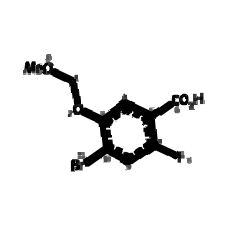 COCOc1cc(C(=O)O)c(F)cc1Br